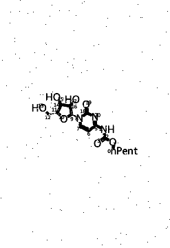 CCCCCOC(=O)Nc1ccn([C@@H]2O[C@H](CO)C(O)C2O)c(=O)n1